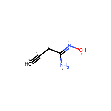 C#CC/C(N)=N/O